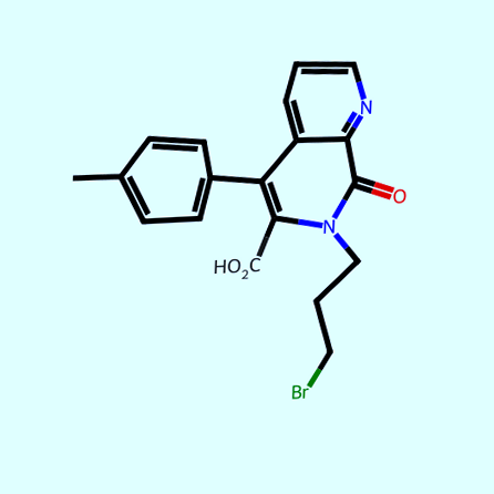 Cc1ccc(-c2c(C(=O)O)n(CCCBr)c(=O)c3ncccc23)cc1